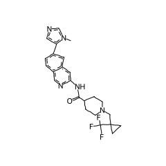 Cn1cncc1-c1ccc2cnc(NC(=O)C3CCN(CC4(C(F)(F)F)CC4)CC3)cc2c1